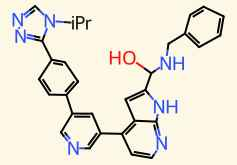 CC(C)n1cnnc1-c1ccc(-c2cncc(-c3ccnc4[nH]c(C(O)NCc5ccccc5)cc34)c2)cc1